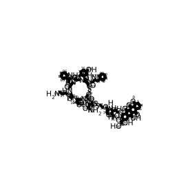 COc1cccc2c1C(=O)c1c(O)c3c(c(O)c1C2=O)C[C@@](O)(C(=O)CO)C[C@@H]3O[C@H]1C[C@@H]2NC(OCCSSC(C)(C)[C@H](NC(=O)[C@@H]3CSSC[C@H](NC(=O)[C@H](N)Cc4ccccc4)C(=O)N[C@@H](Cc4ccc(O)cc4)C(=O)N[C@H](Cc4c[nH]c5ccccc45)C(=O)N[C@@H](CCCCN)C(=O)N[C@@H]([C@@H](C)O)C(=O)N3)C(N)=O)=CO[C@@H]2[C@H](C)O1